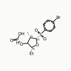 CC[C@H]1O[C@@H](S(=O)(=O)c2ccc(Br)cc2)[C@@H](C)C1O[PH](=O)O